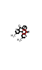 Cc1ccc(NC2CC3CCC2N(C(=O)c2ncc(C)cc2-c2ncc(F)cn2)C3)nc1